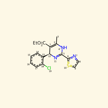 CCOC(=O)C1=C(C)NC(c2nccs2)=N[C@H]1c1ccccc1Cl